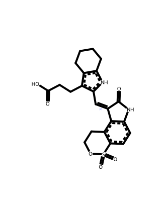 O=C(O)CCc1c(/C=C2\C(=O)Nc3ccc4c(c32)CCOS4(=O)=O)[nH]c2c1CCCC2